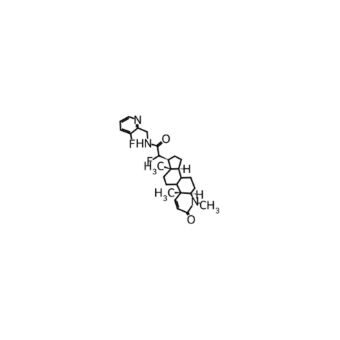 CN1C(=O)C=C[C@]2(C)C3CC[C@]4(C)[C@@H](C(F)C(=O)NCc5ncccc5F)CC[C@H]4C3CC[C@@H]12